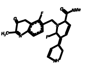 CNC(=O)C1C=CC(=C2C=CNCC2)C(F)N1Cc1ccc2c(c1F)CC(=O)C(C)=N2